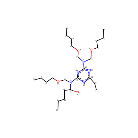 CCCCOCN(COCCCC)c1nc(CC)nc(N(COCCCC)C(O)CCCC)n1